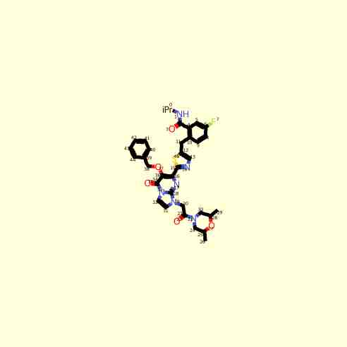 CC(C)NC(=O)c1cc(F)ccc1Cc1cnc(-c2nc3n(CC(=O)N4CC(C)OC(C)C4)ccn3c(=O)c2OCc2ccccc2)s1